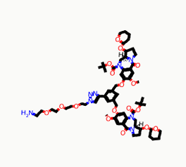 COc1cc2c(cc1OCc1cc(COc3cc4c(cc3OC)C(=O)N3CCC(OC5CCCCO5)[C@@H]3CN4C(=O)OC(C)(C)C)cc(-c3cn(CCOCCOCCOCCN)nn3)c1)N(C(=O)OC(C)(C)C)C[C@H]1C(OC3CCCCO3)CCN1C2=O